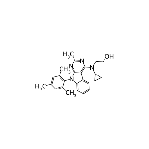 Cc1cc(C)c(-n2c3ccccc3c3c(N(CCO)C4CC4)nc(C)nc32)c(C)c1